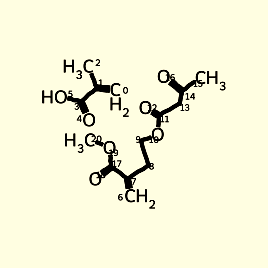 C=C(C)C(=O)O.C=C(CCOC(=O)CC(C)=O)C(=O)OC